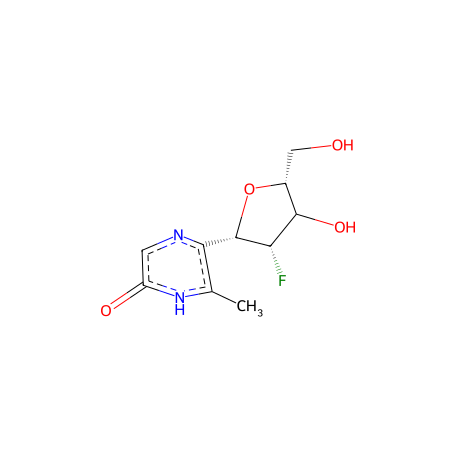 Cc1[nH]c(=O)cnc1[C@@H]1O[C@H](CO)C(O)[C@@H]1F